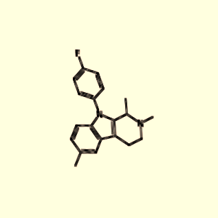 Cc1ccc2c(c1)c1c(n2-c2ccc(F)cc2)C(C)N(C)CC1